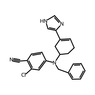 N#Cc1ccc(N(Cc2ccccc2)C2CCC=C(c3c[nH]cn3)C2)cc1Cl